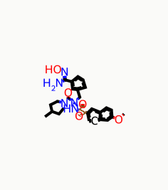 COc1ccc2cc(S(=O)(=O)NN(Cc3cccc(/C(N)=N/O)c3)C(=O)N3CCC(C)CC3)ccc2c1